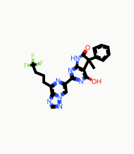 CC1(c2ccccc2)C(=O)Nc2nc(-c3cn4ncnc4c(CCCC(F)(F)F)n3)nc(O)c21